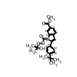 COC(=O)c1ccc2cc(-c3ccc(C(C)(C)C)cc3)n(C(=O)OOC(C)(C)C)c2c1